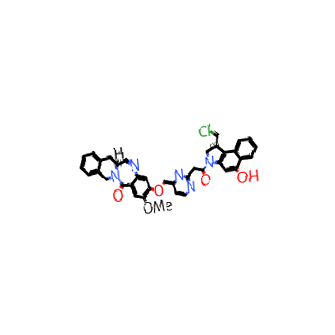 COc1cc2c(cc1OCc1ccnc(CC(=O)N3C[C@@H](CCl)c4c3cc(O)c3ccccc43)n1)N=C[C@@H]1Cc3ccccc3CN1C2=O